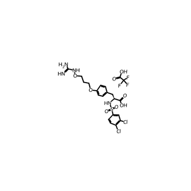 N=C(N)NOCCCOc1ccc(C[C@H](NS(=O)(=O)c2ccc(Cl)c(Cl)c2)C(=O)O)cc1.O=C(O)C(F)(F)F